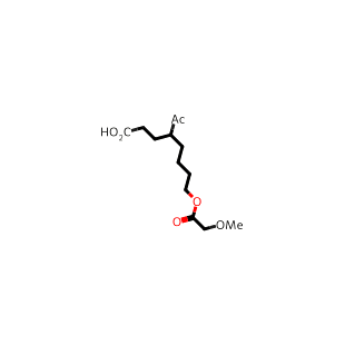 COCC(=O)OCCCCC(CCC(=O)O)C(C)=O